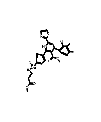 COC(=O)CCNS(=O)(=O)c1ccc(C2=C(C(=O)OC)C(c3ccc(F)c(F)c3Cl)N=C(c3nccs3)N2)cc1